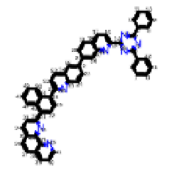 c1ccc(-c2nc(-c3ccccc3)nc(-c3ccc4ccc(-c5ccc6nc(-c7ccc(-c8ccc9ccc%10cccnc%10c9n8)c8ccccc78)ccc6c5)cc4n3)n2)cc1